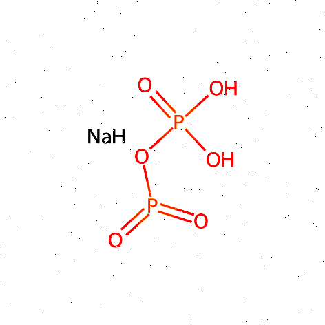 O=P(=O)OP(=O)(O)O.[NaH]